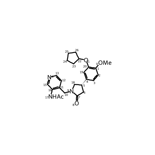 COc1ccc([C@@H]2CC(=O)N(Cc3ccncc3NC(C)=O)C2)cc1OC1CCCC1